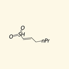 CCCCC=C[SH](=O)=O